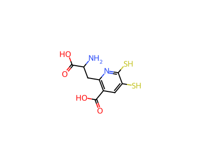 NC(Cc1nc(S)c(S)cc1C(=O)O)C(=O)O